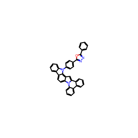 c1ccc(-c2nnc(-c3ccc(-n4c5ccccc5c5ccc6c(cc7c8ccccc8c8ccccc8n76)c54)cc3)o2)cc1